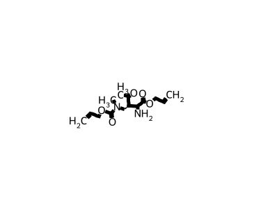 C=CCOC(=O)C(N)[C@H](CN(C)C(=O)OCC=C)C(C)=O